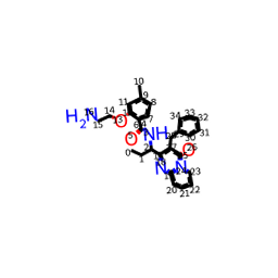 CCC(NC(=O)c1ccc(C)cc1OCCN)c1nc2ccccn2c(=O)c1Cc1ccccc1